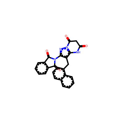 O=C1CC(=O)n2nc(N3C(=O)c4ccccc4C3=O)c(Cc3cccc4ccccc34)c2N1